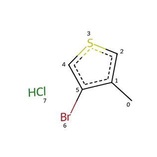 Cc1cscc1Br.Cl